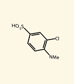 CNc1ccc(S(=O)(=O)O)cc1Cl